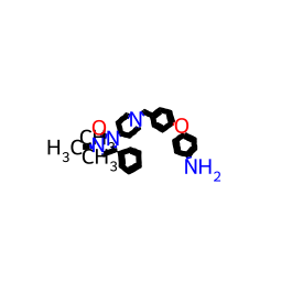 CC(C)(C)N1C[C@@H](c2ccccc2)N(C2CCN(Cc3ccc(Oc4ccc(N)cc4)cc3)CC2)C1=O